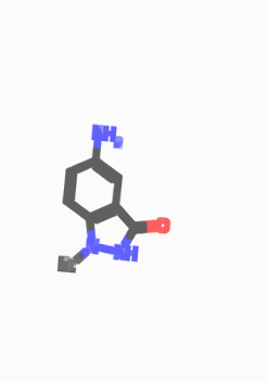 CCn1[nH]c(=O)c2cc(N)ccc21